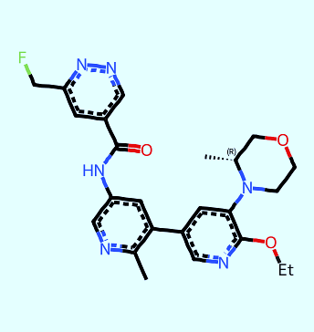 CCOc1ncc(-c2cc(NC(=O)c3cnnc(CF)c3)cnc2C)cc1N1CCOC[C@H]1C